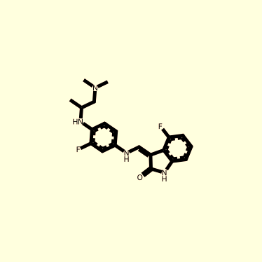 CC(CN(C)C)Nc1ccc(NC=C2C(=O)Nc3cccc(F)c32)cc1F